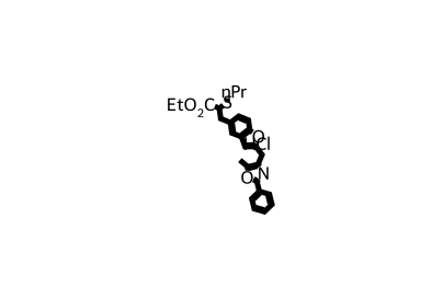 CCCSC(Cc1ccc2oc(Cc3nc(-c4ccccc4)oc3C)cc2c1)C(=O)OCC.Cl